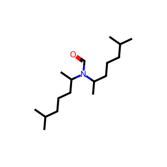 CC(C)CCCC(C)N(C=O)C(C)CCCC(C)C